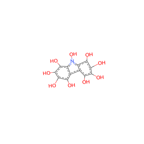 Oc1c(O)c(O)c2c(c1O)c1c(O)c(O)c(O)c(O)c1n2O